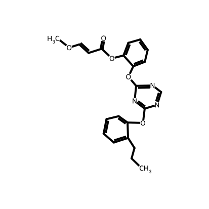 CCCc1ccccc1Oc1ncnc(Oc2ccccc2OC(=O)C=COC)n1